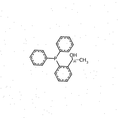 C[C@@H](O)c1ccccc1P(c1ccccc1)c1ccccc1